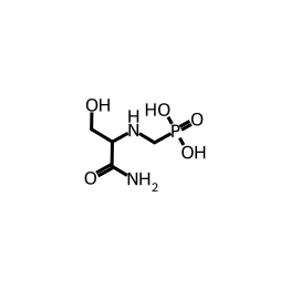 NC(=O)C(CO)NCP(=O)(O)O